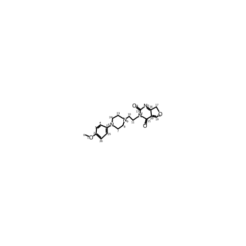 COc1ccc(N2CCN(CCN3C(=O)N=C4COC=C4C3=O)CC2)cc1